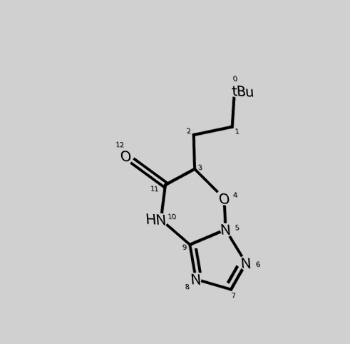 CC(C)(C)CCC1On2ncnc2NC1=O